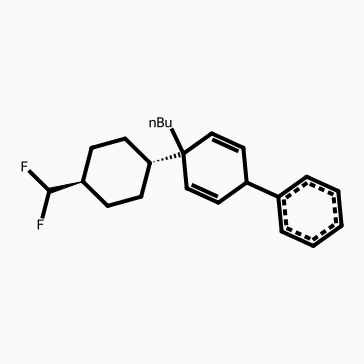 CCCCC1([C@H]2CC[C@H](C(F)F)CC2)C=CC(c2ccccc2)C=C1